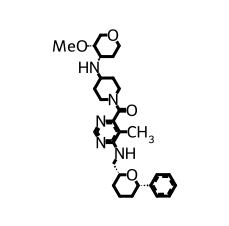 CO[C@@H]1COCC[C@@H]1NC1CCN(C(=O)c2ncnc(NC[C@H]3CCC[C@@H](c4ccccc4)O3)c2C)CC1